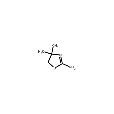 CC1(C)COC(N)=N1